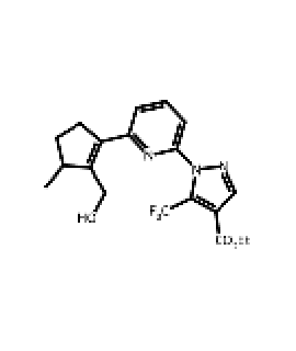 CCOC(=O)c1cnn(-c2cccc(C3=C(CO)C(C)CC3)n2)c1C(F)(F)F